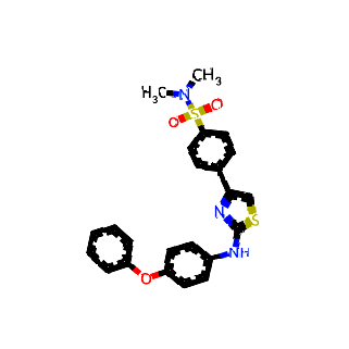 CN(C)S(=O)(=O)c1ccc(-c2csc(Nc3ccc(Oc4ccccc4)cc3)n2)cc1